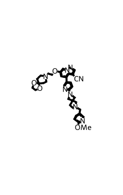 COc1ccc(CN2CCC3(C2)CN(c2ccc(-c4cc(OCCN5CCC6(CC5)OCCO6)cn5ncc(C#N)c45)cn2)C3)cn1